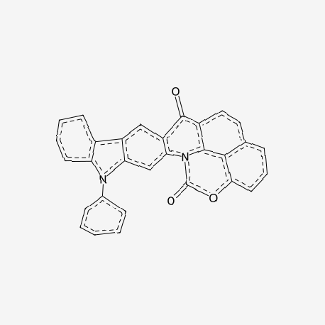 O=c1c2cc3c4ccccc4n(-c4ccccc4)c3cc2n2c(=O)oc3cccc4ccc1c2c43